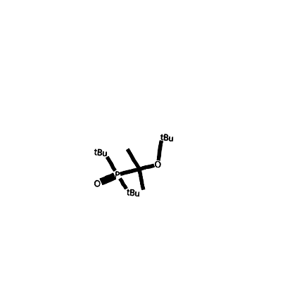 CC(C)(C)OC(C)(C)P(=O)(C(C)(C)C)C(C)(C)C